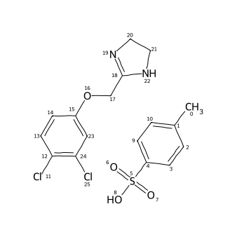 Cc1ccc(S(=O)(=O)O)cc1.Clc1ccc(OCC2=NCCN2)cc1Cl